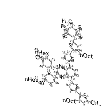 CCCCCCCCc1cc(C)sc1-c1ccc(-c2ccc(-c3ccc(-c4sc(-c5c(F)c(F)c(C)c(F)c5F)cc4CCCCCCCC)s3)c3nc(-c4ccc(OCCCCCC)cc4)c(-c4ccc(OCCCCCC)cc4)nc23)s1